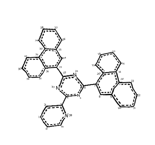 c1ccc(-c2nc(-c3cc4ccccc4c4ccccc34)nc(-c3cc4ccccc4c4ccccc34)n2)nc1